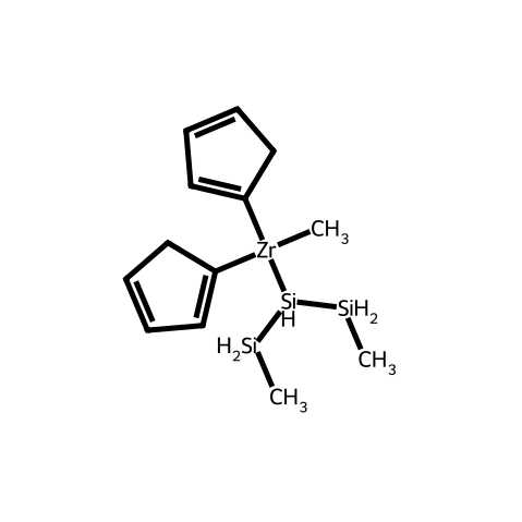 C[SiH2][SiH]([SiH2]C)[Zr]([CH3])([C]1=CC=CC1)[C]1=CC=CC1